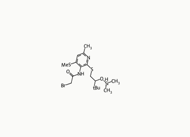 CSc1cc(C)nc(SCC(O[SiH](C)C)C(C)(C)C)c1NC(=O)CBr